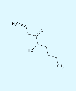 C=COC(=O)C(O)CCCC